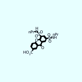 CCCNS(=O)(=O)c1cc(S(=O)(=O)NCCC)c2oc3ccc(C(=O)O)cc3c(=O)c2c1